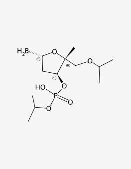 B[C@H]1C[C@H](OP(=O)(O)OC(C)C)[C@@](C)(COC(C)C)O1